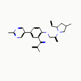 C=CC1CC(C)CN1C(=C)CNc1ccc(-c2cnc(C)nc2)cc1C(=N)C(=C)C